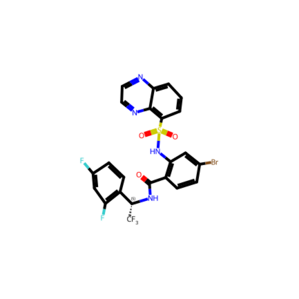 O=C(N[C@@H](c1ccc(F)cc1F)C(F)(F)F)c1ccc(Br)cc1NS(=O)(=O)c1cccc2nccnc12